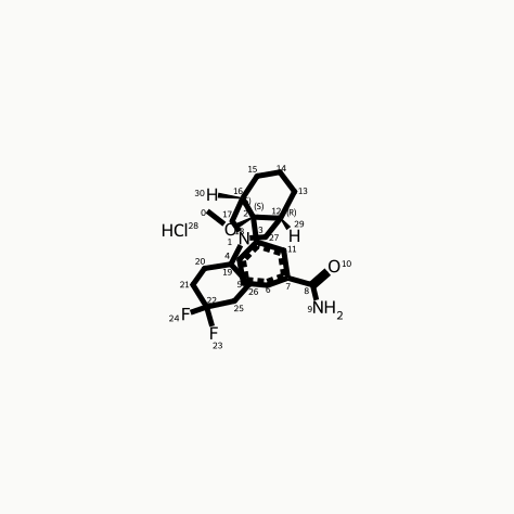 CO[C@]1(c2cccc(C(N)=O)c2)[C@@H]2CCC[C@H]1CN(C1CCC(F)(F)CC1)C2.Cl